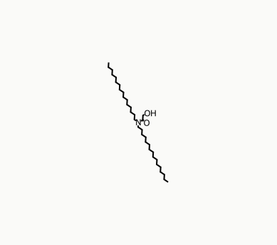 CCCCCCCCCCCCCCCCN(CCCCCCCCCCCCCCCC)C(=O)CO